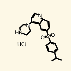 CC(C)c1ccc(S(=O)(=O)c2ccc3nccc(N4CCNCC4)c3c2)cc1.Cl